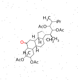 CC(=O)OC1CC2C(=O)C[C@H]3[C@@H]4CC[C@H]([C@H](C)C(OC(C)=O)C(OC(C)=O)C(C)C(C)C)[C@@]4(C)CC[C@@H]3[C@@]2(C)CC1OC(C)=O